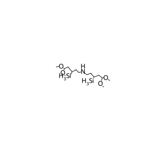 COC(CC([SiH3])CCNCCC([SiH3])CC(OC)OC)OC